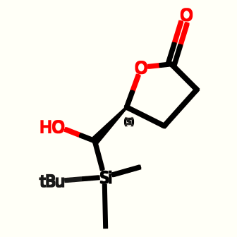 CC(C)(C)[Si](C)(C)C(O)[C@@H]1CCC(=O)O1